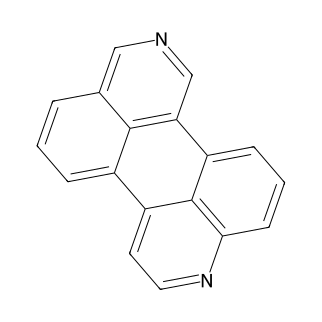 c1cc2cncc3c4cccc5nccc(c(c1)c23)c54